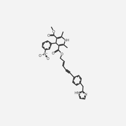 COC(=O)C1=C(C)NC(C)=C(C(=O)OCC=CC#Cc2ccc(Cc3ncc[nH]3)cc2)C1c1cccc([N+](=O)[O-])c1